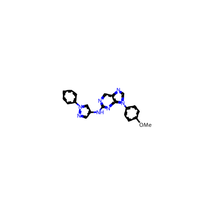 COc1ccc(-n2cnc3cnc(Nc4cnn(-c5ccccc5)c4)nc32)cc1